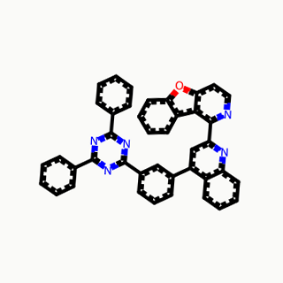 c1ccc(-c2nc(-c3ccccc3)nc(-c3cccc(-c4cc(-c5nccc6oc7ccccc7c56)nc5ccccc45)c3)n2)cc1